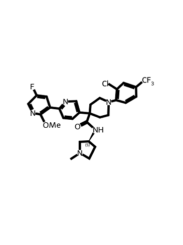 COc1ncc(F)cc1-c1ccc(C2(C(=O)N[C@H]3CCN(C)C3)CCN(c3ccc(C(F)(F)F)cc3Cl)CC2)cn1